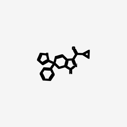 O=C(c1n[nH]c2c1C=CC(c1ccccc1)(c1cccs1)C2)C1CC1